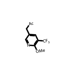 COc1ncc(CC(C)=O)cc1C(F)(F)F